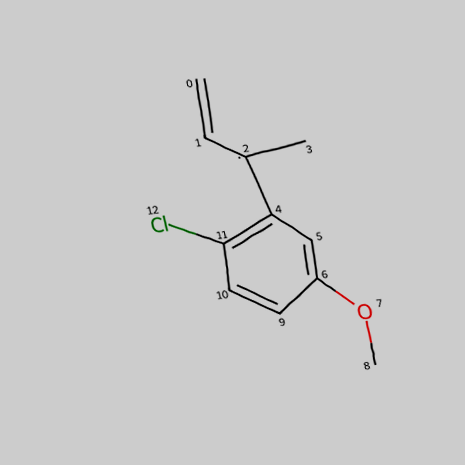 C=C[C](C)c1cc(OC)ccc1Cl